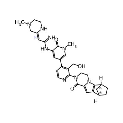 CN1CCN/C(=C\C(=N)Nc2cc(-c3ccnc(N4CCn5c(cc6c5[C@H]5CC[C@@H]6C5)C4=O)c3CO)cn(C)c2=O)C1